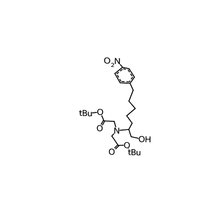 CC(C)(C)OC(=O)CN(CC(=O)OC(C)(C)C)C(CO)CCCCCc1ccc([N+](=O)[O-])cc1